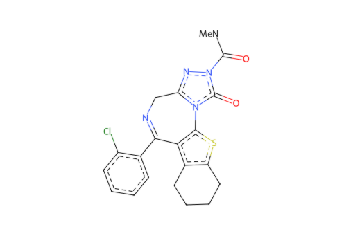 CNC(=O)n1nc2n(c1=O)-c1sc3c(c1C(c1ccccc1Cl)=NC2)CCCC3